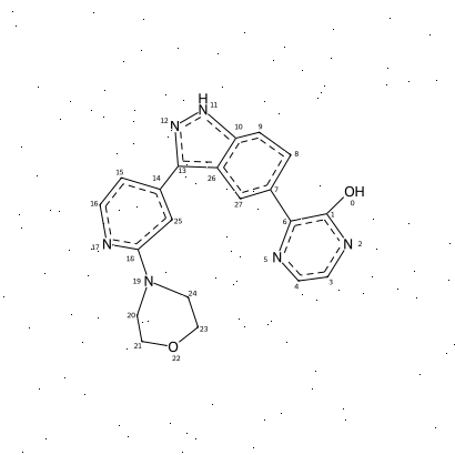 Oc1nccnc1-c1ccc2[nH]nc(-c3ccnc(N4CCOCC4)c3)c2c1